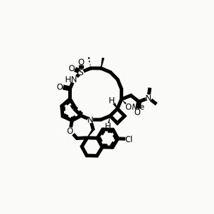 CO[C@@]1(CC(=O)N(C)C)CCC[C@H](C)[C@@H](C)S(=O)(=O)NC(=O)c2ccc3c(c2)N(C[C@@H]2CC[C@H]21)C[C@@]1(CCCc2cc(Cl)ccc21)CO3